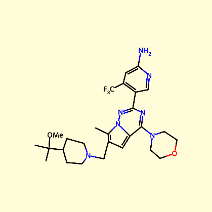 COC(C)(C)C1CCN(Cc2cc3c(N4CCOCC4)nc(-c4cnc(N)cc4C(F)(F)F)nn3c2C)CC1